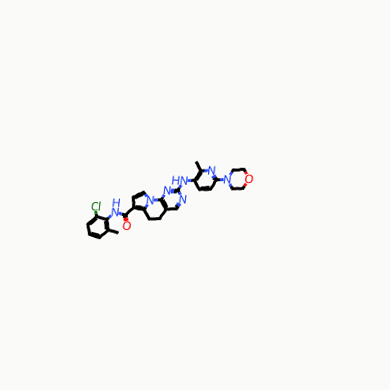 Cc1cccc(Cl)c1NC(=O)c1ccn2c1CCc1cnc(Nc3ccc(N4CCOCC4)nc3C)nc1-2